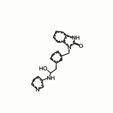 O=c1[nH]c2ccccc2n1Cc1cccc(CC(O)Nc2cccnc2)c1